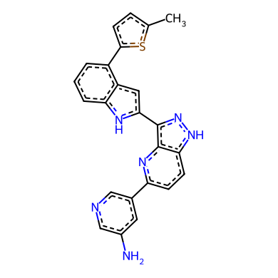 Cc1ccc(-c2cccc3[nH]c(-c4n[nH]c5ccc(-c6cncc(N)c6)nc45)cc23)s1